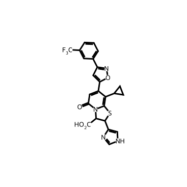 O=C(O)C1C(c2c[nH]cn2)Sc2c(C3CC3)c(-c3cc(-c4cccc(C(F)(F)F)c4)no3)cc(=O)n21